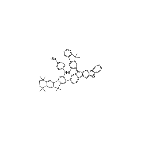 CC(C)(C)c1ccc(N2B3c4cc5c(cc4-n4c6cc7c(cc6c6ccc(c3c64)-c3cc4c(cc32)-c2cc3c(cc2C4(C)C)C(C)(C)CCC3(C)C)oc2ccccc27)C(C)(C)c2ccccc2-5)cc1